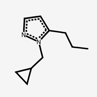 CCCc1ccnn1CC1CC1